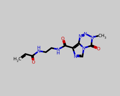 C=CC(=O)NCCNC(=O)c1ncn2c(=O)n(C)nnc12